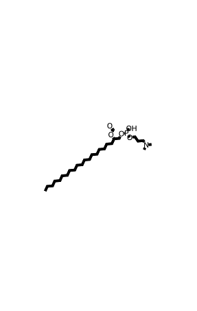 CCCCCCCCCCCCCCCCCCCC(COP(O)OCCCN(C)C)OC=O